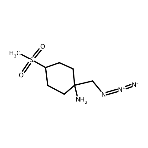 CS(=O)(=O)C1CCC(N)(CN=[N+]=[N-])CC1